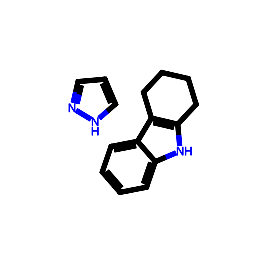 c1ccc2c3c([nH]c2c1)CCCC3.c1cn[nH]c1